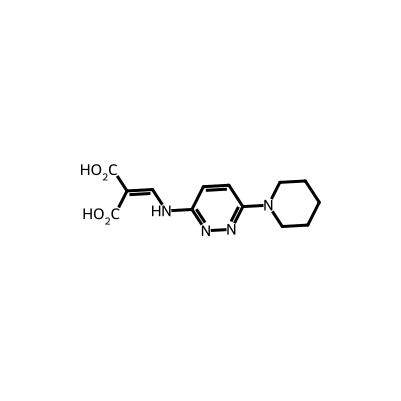 O=C(O)C(=CNc1ccc(N2CCCCC2)nn1)C(=O)O